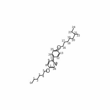 CCCCCCOc1ccc(-c2ccc(OCCCCCC(C)CC)cc2)nc1